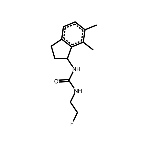 Cc1ccc2c(c1C)C(NC(=O)NCCF)CC2